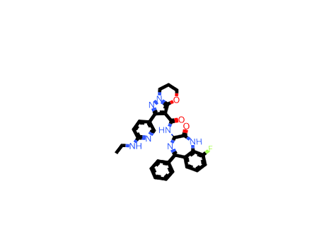 CCNc1ccc(-c2nn3c(c2C(=O)N[C@H]2N=C(c4ccccc4)c4cccc(F)c4NC2=O)OCCC3)cn1